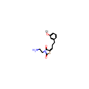 CCOc1cccc(CCC=C2SC(=O)N(CCN)C2=O)c1